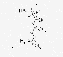 CCC(F)(F)C(=O)CC(=O)CCC(C)C